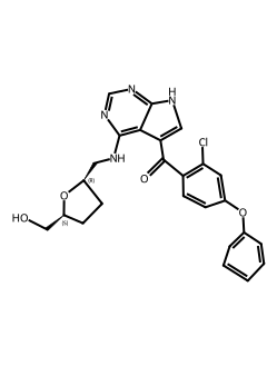 O=C(c1ccc(Oc2ccccc2)cc1Cl)c1c[nH]c2ncnc(NC[C@H]3CC[C@@H](CO)O3)c12